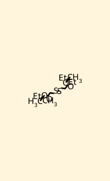 CCC(C)(C)OC(=O)CCSSCCC(=O)OC(C)(CC)CC